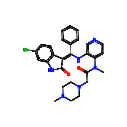 CN1CCN(CC(=O)N(C)c2ccncc2NC(=C2C(=O)Nc3cc(Cl)ccc32)c2ccccc2)CC1